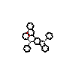 c1ccc(N(c2ccccc2)c2cc3c4ccccc4n(-c4ccccc4)c3cc2-c2ccc3ccccc3c2)cc1